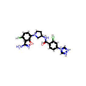 Nc1noc2c(N3CCC(NC(=O)c4ccc(-n5cnnc5)cc4Cl)C3)ccc(F)c12